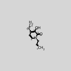 C=CCn1ccc(N=C)c(O)c1=O